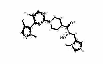 Cc1cnn(C)c1-c1nc(N2CCC(C(=O)N(O)Cc3cncn3C)CC2)ncc1F